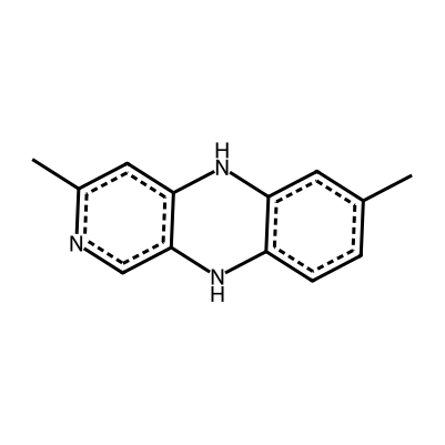 Cc1ccc2c(c1)Nc1cc(C)ncc1N2